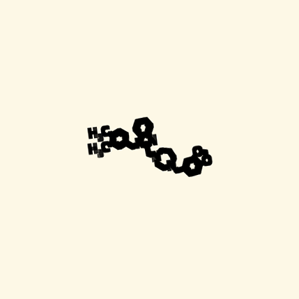 Cc1ccc(Cn2c(CN3CCCN(Cc4ccc5c(c4)OCO5)CC3)nc3ccccc32)cc1C